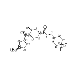 C[C@H]1CN(C(=O)CCC2CCC(F)(F)CC2)CCN1C(=O)[C@H]1CCN(C(C)(C)C)C1